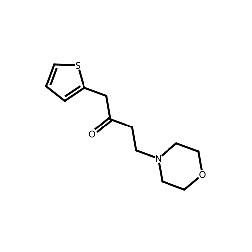 O=C(CCN1CCOCC1)Cc1cccs1